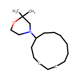 CC1(C)CN(C2CCCCCCCCCCC2)CCO1